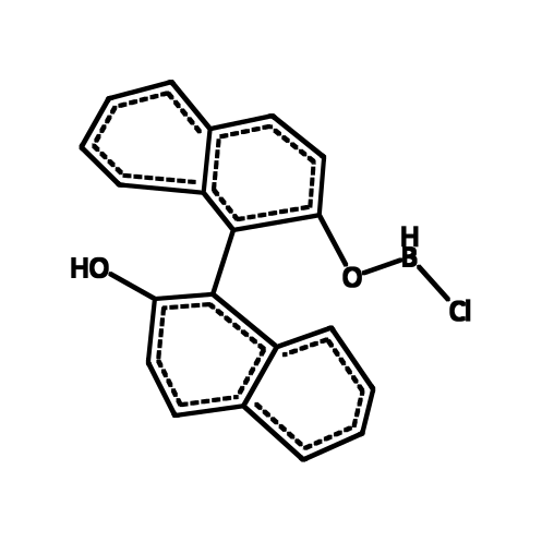 Oc1ccc2ccccc2c1-c1c(OBCl)ccc2ccccc12